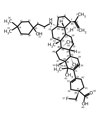 C=C(C)[C@@H]1CC[C@]2(NCCC3(O)CCC(C)(C)CC3)CC[C@]3(C)[C@H](CC[C@@H]4[C@@]5(C)CC=C(C6=CC[C@@](CF)(C(=O)O)CC6)C(C)(C)[C@@H]5CC[C@]43C)[C@@H]12